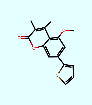 COc1cc(-c2cccs2)cc2oc(=O)c(C)c(C)c12